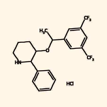 CC(OC1CCCNC1c1ccccc1)c1cc(C(F)(F)F)cc(C(F)(F)F)c1.Cl